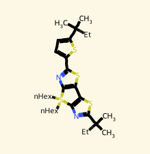 CCCCCCS1(CCCCCC)c2nc(-c3ccc(C(C)(C)CC)s3)sc2-c2sc(C(C)(C)CC)nc21